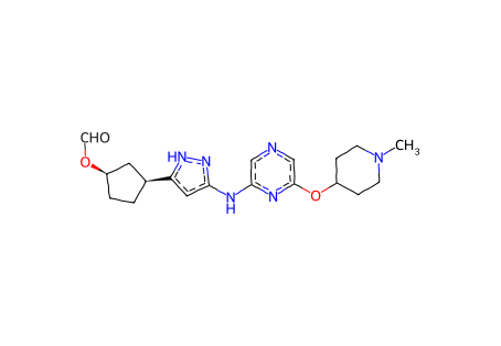 CN1CCC(Oc2cncc(Nc3cc([C@H]4CC[C@@H](OC=O)C4)[nH]n3)n2)CC1